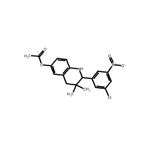 CC(=O)Oc1ccc2c(c1)CC(C)(C)C(c1cc(Cl)cc([N+](=O)[O-])c1)N2